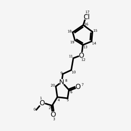 COC(=O)C1CC(=O)N(CCCOc2ccc(Cl)cc2)C1